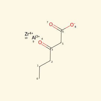 CCCC(=O)CC(=O)[O-].[Al+3].[Zr+4]